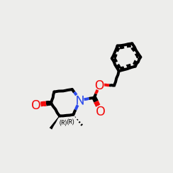 C[C@@H]1[C@@H](C)C(=O)CCN1C(=O)OCc1ccccc1